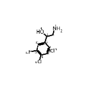 Cl.NCC(O)c1ccc(Cl)c(F)c1